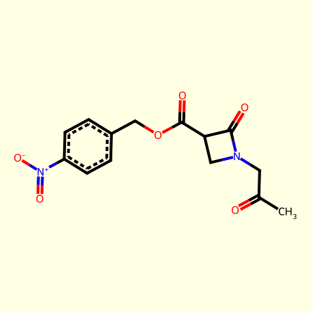 CC(=O)CN1CC(C(=O)OCc2ccc([N+](=O)[O-])cc2)C1=O